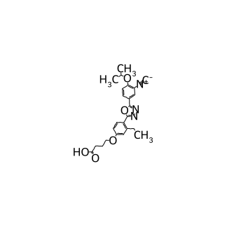 [C-]#[N+]c1cc(-c2nnc(-c3ccc(OCCCC(=O)O)cc3CC)o2)ccc1OC(C)C